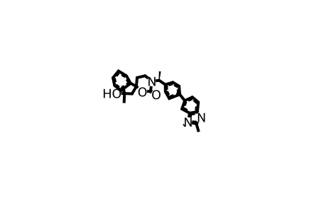 Cc1nc2ccc(-c3ccc([C@H](C)N4CCC(CC(C)(C)O)(c5ccccc5)OC4=O)cc3)cc2n1C